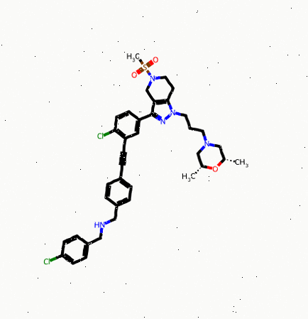 C[C@@H]1CN(CCCn2nc(-c3ccc(Cl)c(C#Cc4ccc(CNCc5ccc(Cl)cc5)cc4)c3)c3c2CCN(S(C)(=O)=O)C3)C[C@H](C)O1